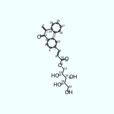 C=C(C(=O)c1ccc(/C=C/C(=O)OC[C@@H](O)[C@H](O)[C@@H](O)CO)cc1)c1ccccc1